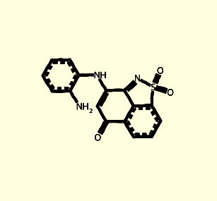 Nc1ccccc1NC1=CC(=O)c2cccc3c2C1=NS3(=O)=O